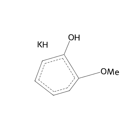 COc1ccccc1O.[KH]